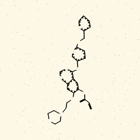 C=CC(=O)Nc1cc2c(Nc3ccc(OCc4ccccn4)nc3)ncnc2cc1OCCN1CCOCC1